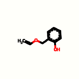 C=COCc1ccccc1O